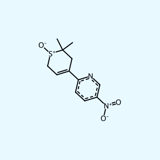 CC1(C)CC(c2ccc([N+](=O)[O-])cn2)=CC[S+]1[O-]